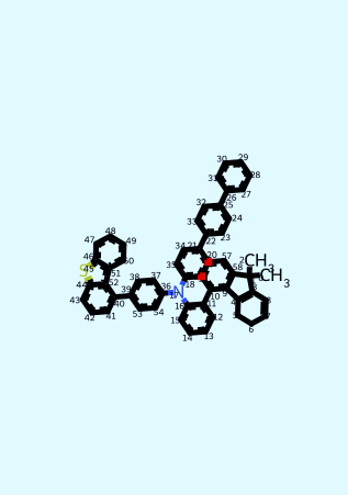 CC1(C)C2=C(CCC=C2)c2c(-c3ccccc3N(c3ccc(-c4ccc(-c5ccccc5)cc4)cc3)c3ccc(-c4cccc5sc6ccccc6c45)cc3)cccc21